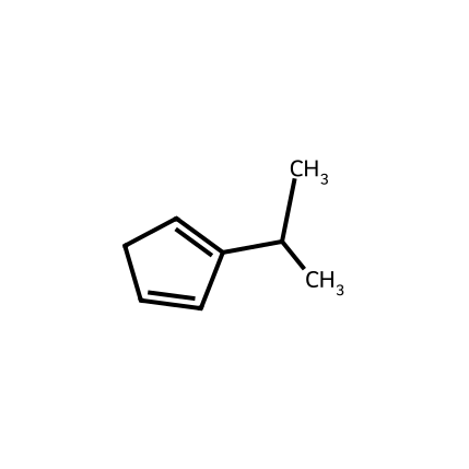 CC(C)C1=CCC=C1